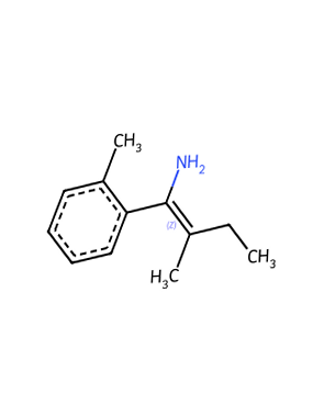 CC/C(C)=C(\N)c1ccccc1C